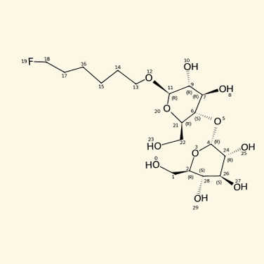 OC[C@H]1O[C@H](O[C@H]2[C@H](O)[C@@H](O)[C@H](OCCCCCCF)O[C@@H]2CO)[C@H](O)[C@@H](O)[C@@H]1O